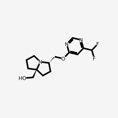 OC[C@@]12CCCN1[C@H](COc1cc(C(F)F)ncn1)CC2